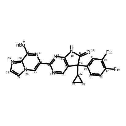 CCCCc1nc(-c2ncc3c(n2)NC(=O)C3(c2ccc(F)c(F)c2)C2CC2)cn2ccnc12